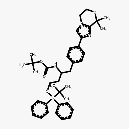 CC(C)(C)OC(=O)NC(CCO[Si](c1ccccc1)(c1ccccc1)C(C)(C)C)Cc1ccc(-c2cn3c(n2)C(C)(C)OCC3)cc1